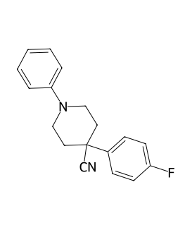 N#CC1(c2ccc(F)cc2)CCN(c2ccccc2)CC1